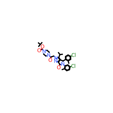 Cc1cc(Cl)ccc1C1c2c(nn(CC(=O)N3CCN(C(=O)OC(C)(C)C)CC3)c2C(C)C)C(=O)N1c1cc(Cl)ccc1C